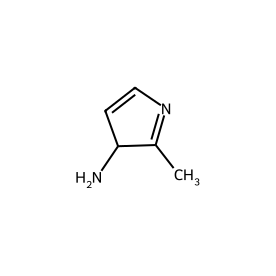 CC1=NC=CC1N